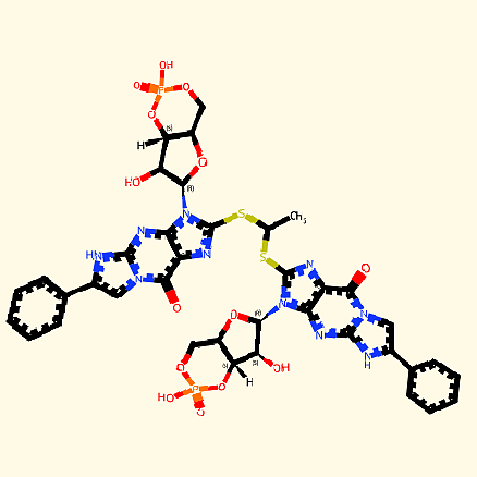 CC(Sc1nc2c(=O)n3cc(-c4ccccc4)[nH]c3nc2n1[C@@H]1OC2COP(=O)(O)O[C@H]2C1O)Sc1nc2c(=O)n3cc(-c4ccccc4)[nH]c3nc2n1[C@@H]1OC2COP(=O)(O)O[C@H]2[C@@H]1O